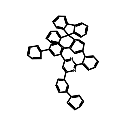 c1ccc(-c2cccc(-c3cc(-c4cccc(-c5ccccc5)c4)nc(-c4ccccc4-c4ccc5c(c4)Oc4ccccc4C54c5ccccc5-c5ccccc54)n3)c2)cc1